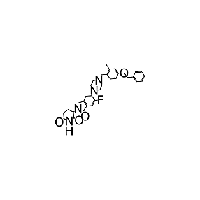 Cc1cc(OCc2ccccc2)ccc1CN1CCN(c2cc3c(cc2F)C(=O)N(C2CCC(=O)NC2=O)C3)CC1